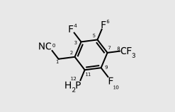 N#CCc1c(F)c(F)c(C(F)(F)F)c(F)c1P